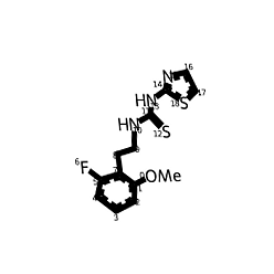 COc1cccc(F)c1CCNC(=S)Nc1nccs1